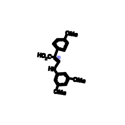 COc1ccc(/C(=C/Nc2cc(OC)cc(OC)c2)C(=O)O)cc1